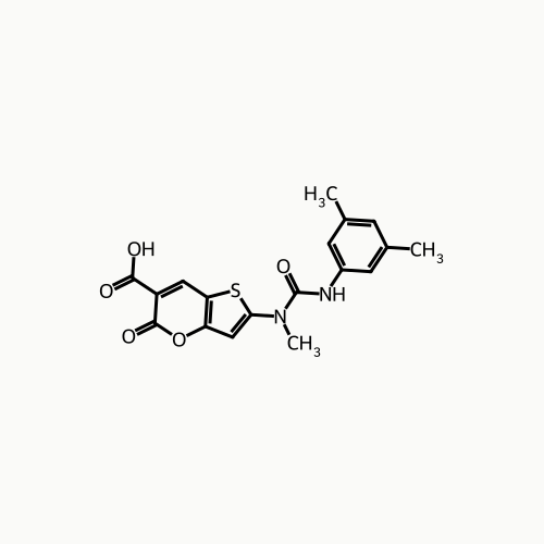 Cc1cc(C)cc(NC(=O)N(C)c2cc3oc(=O)c(C(=O)O)cc3s2)c1